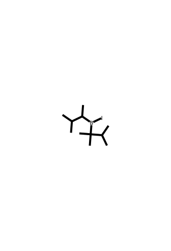 CC(C)C(C)B(I)C(C)(C)C(C)C